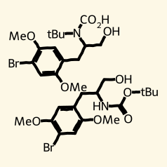 COc1cc(CC(CO)N(C(=O)O)C(C)(C)C)c(OC)cc1Br.COc1cc(CC(CO)NC(=O)OC(C)(C)C)c(OC)cc1Br